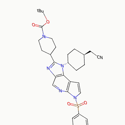 CC(C)(C)OC(=O)N1CCC(c2nc3cnc4c(ccn4S(=O)(=O)c4ccccc4)c3n2[C@H]2CC[C@H](CC#N)CC2)CC1